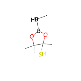 CBB1OC(C)(C)C(C)(S)O1